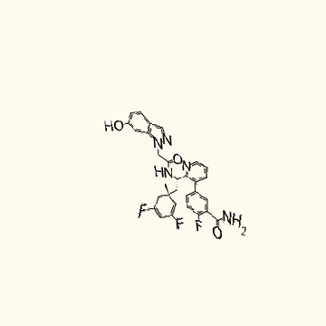 C[C@@]1(C[C@H](NC(=O)Cn2ncc3ccc(O)cc32)c2ncccc2-c2ccc(F)c(C(N)=O)c2)C=C(F)C=C(F)C1